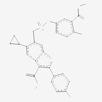 CNC(=O)c1c(-c2ccc(F)cc2)oc2cc(CS(=O)(=O)Nc3ccc(Br)c(C(=O)OC)c3)c(C3CC3)cc12